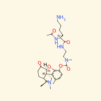 CC(=O)N[C@@H](CCCCN)C(=O)NCCN(C)C(=O)Oc1ccc(C)c2c1O[C@@H]1C(=O)CCC3[C@H](C)N(C)CC[C@]231